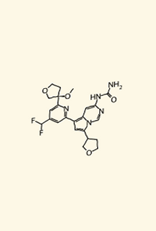 CO[C@]1(c2cc(C(F)F)cc(-c3cc(C4CCOC4)n4cnc(NC(N)=O)cc34)n2)CCOC1